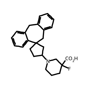 O=C(O)C1(F)CCCN(C2CCC3(Cc4ccccc4Cc4ccccc43)C2)C1